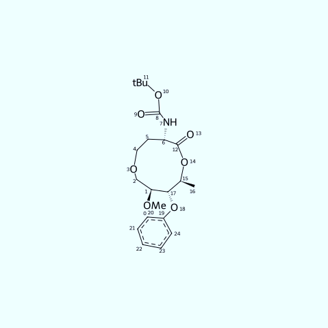 CO[C@H]1COCC[C@H](NC(=O)OC(C)(C)C)C(=O)O[C@@H](C)[C@@H]1Oc1ccccc1